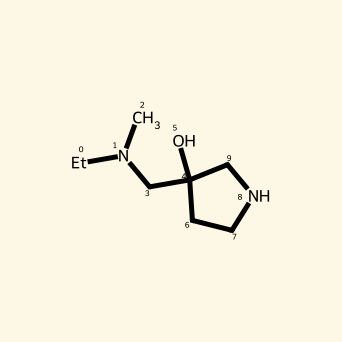 CCN(C)CC1(O)CCNC1